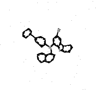 Brc1cc(N(c2ccc(-c3ccccc3)cc2)c2cccc3ccccc23)c2sc3ccccc3c2c1